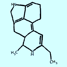 CCC1=CC2=C3CCC=C4NCC(=C43)CC2C(C)N1